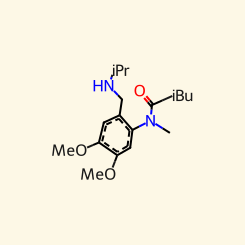 CCC(C)C(=O)N(C)c1cc(OC)c(OC)cc1CNC(C)C